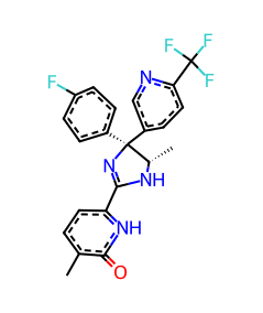 Cc1ccc(C2=N[C@@](c3ccc(F)cc3)(c3ccc(C(F)(F)F)nc3)[C@H](C)N2)[nH]c1=O